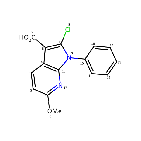 COc1ccc2c(C(=O)O)c(Cl)n(-c3ccccc3)c2n1